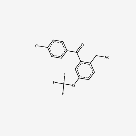 CC(=O)Cc1ccc(OC(F)(F)I)cc1C(=O)c1ccc(Cl)cc1